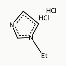 CCn1ccnc1.Cl.Cl